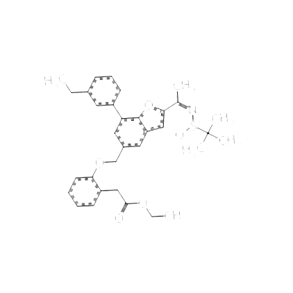 CCOC(=O)Cc1ccccc1OCc1cc(-c2cccc(CC)c2)c2oc(/C(C)=N\[S+]([O-])C(C)(C)C)cc2c1